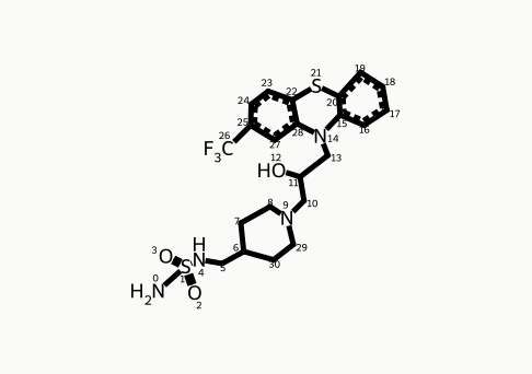 NS(=O)(=O)NCC1CCN(CC(O)CN2c3ccccc3Sc3ccc(C(F)(F)F)cc32)CC1